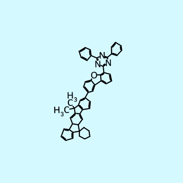 CC1(C)C2=CC3c4ccccc4C4(CCCCC4)C3C=C2c2ccc(-c3ccc4oc5c(-c6nc(-c7ccccc7)nc(-c7ccccc7)n6)cccc5c4c3)cc21